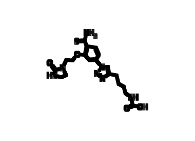 NC(=S)c1ccc(-n2cc(CCCCNC(=O)O)nn2)cc1OCCN1CCNC1=O